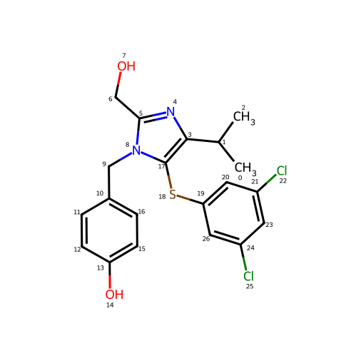 CC(C)c1nc(CO)n(Cc2ccc(O)cc2)c1Sc1cc(Cl)cc(Cl)c1